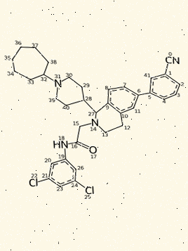 N#Cc1cccc(-c2ccc3c(c2)CCN(CC(=O)Nc2cc(Cl)cc(Cl)c2)C3C2CCN(C3CCCCCC3)CC2)c1